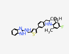 CCc1cc(F)cc(C)c1NC(Cc1ccc(-c2csc(CNc3nc4ccccc4[nH]3)c2)cc1)C(=O)O